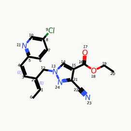 C/C=C(\C=C/c1ccc(Cl)cn1)Cn1cc(C(=O)OCC)c(C#N)n1